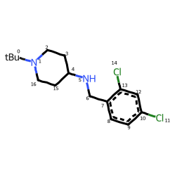 CC(C)(C)N1CCC(NCc2ccc(Cl)cc2Cl)CC1